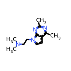 Cc1nc(C)c2ccn(CCN(C)C)c2n1